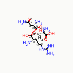 C[C@H](N)C(=O)O.N=C(N)NCCC[C@H](N)C(=O)O.NC(=O)C[C@H](N)C(=O)O